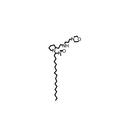 CCCCCCCCCCCCCCCCCC(N(C)C=O)N1CCCCC1CCNCCCN1CCOCC1